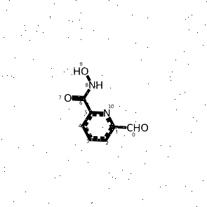 O=Cc1cccc(C(=O)NO)n1